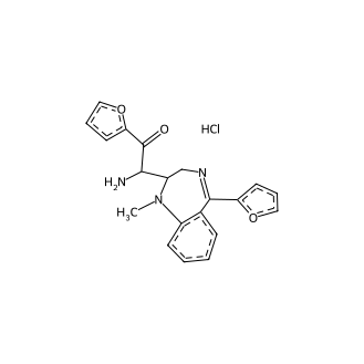 CN1c2ccccc2C(c2ccco2)=NCC1C(N)C(=O)c1ccco1.Cl